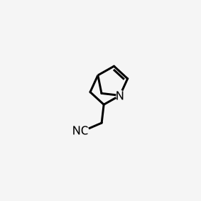 N#CCC1CC2C=CN1C2